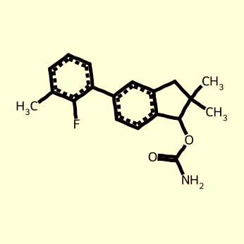 Cc1cccc(-c2ccc3c(c2)CC(C)(C)C3OC(N)=O)c1F